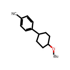 CCC(C)OC1CCC(c2ccc(C#N)cc2)CC1